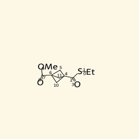 CCSC(=O)C12CC(C(=O)OC)(C1)C2